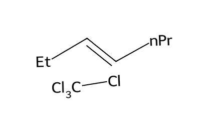 CCC=CCCC.ClC(Cl)(Cl)Cl